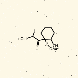 CCCCCCCCC(I)C(=O)C1(COC)CCCCC1C